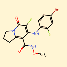 CONC(=O)c1c(Nc2ccc(Br)cc2F)c(F)c(=O)n2c1CCC2